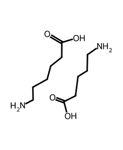 NCCCCC(=O)O.NCCCCCC(=O)O